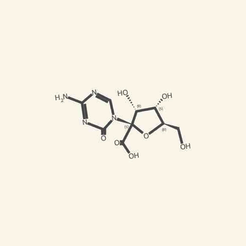 Nc1ncn([C@]2(C(=O)O)O[C@H](CO)[C@@H](O)[C@H]2O)c(=O)n1